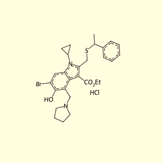 CCOC(=O)c1c(CSC(C)c2ccccc2)n(C2CC2)c2cc(Br)c(O)c(CN3CCCC3)c12.Cl